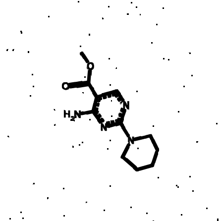 COC(=O)c1cnc(N2CCCCC2)nc1N